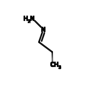 CC/C=N/N